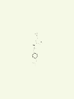 CN(C)Cc1ccc(CNC(=O)C(CCC2CC2)NC(C)(C)C)cc1